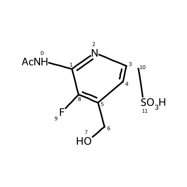 CC(=O)Nc1nccc(CO)c1F.CS(=O)(=O)O